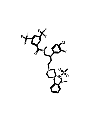 C[C@H](NS(C)(=O)=O)c1ccccc1N1CCN(CCC(CN(C)C(=O)c2cc(C(F)(F)F)cc(C(F)(F)F)c2)c2ccc(Cl)c(Cl)c2)CC1